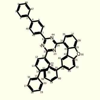 c1ccc(-c2ccc(-c3nc(-c4ccc(-c5ccccc5)cc4)nc(-c4cccc5oc6ccc(-c7ccccc7)cc6c45)n3)cc2)cc1